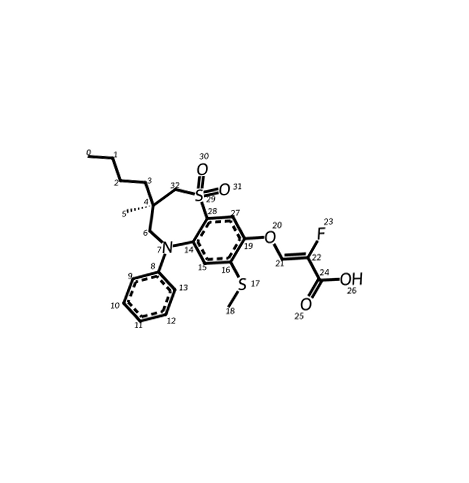 CCCC[C@]1(C)CN(c2ccccc2)c2cc(SC)c(O/C=C(\F)C(=O)O)cc2S(=O)(=O)C1